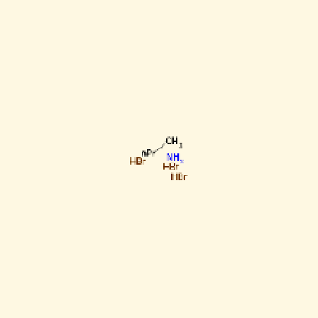 Br.Br.Br.CCCC.N